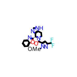 COc1cccc2nc([C@@H]3c4nc[nH]c4CCN3C(=O)c3cc(C(F)F)nn3C)oc12